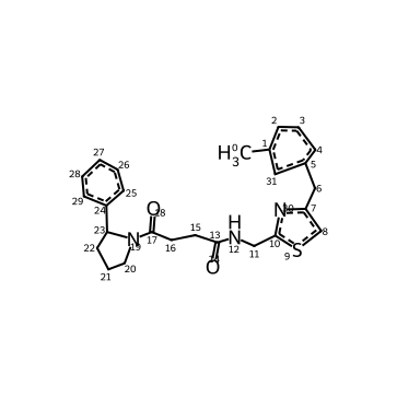 Cc1cccc(Cc2csc(CNC(=O)CCC(=O)N3CCCC3c3ccccc3)n2)c1